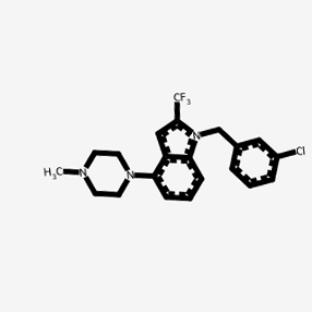 CN1CCN(c2cccc3c2cc(C(F)(F)F)n3Cc2cccc(Cl)c2)CC1